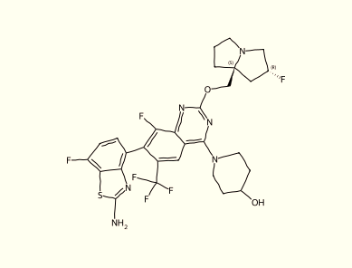 Nc1nc2c(-c3c(C(F)(F)F)cc4c(N5CCC(O)CC5)nc(OC[C@@]56CCCN5C[C@H](F)C6)nc4c3F)ccc(F)c2s1